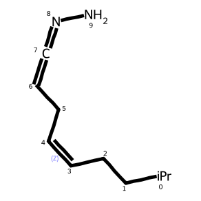 CC(C)CC/C=C\CC=C=NN